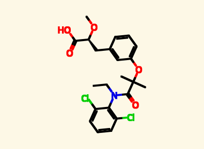 CCN(C(=O)C(C)(C)Oc1cccc(C[C@H](OC)C(=O)O)c1)c1c(Cl)cccc1Cl